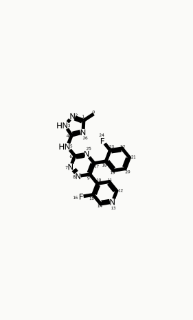 Cc1n[nH]c(Nc2nnc(-c3ccncc3F)c(-c3ccccc3F)n2)n1